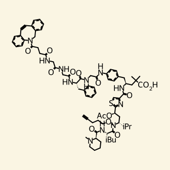 C#CCCCON(C(=O)[C@@H](NC(=O)[C@H]1CCCCN1C)[C@@H](C)CC)[C@H](C[C@@H](OC(C)=O)c1nc(C(=O)N[C@@H](Cc2ccc(NC(=O)CNC(=O)[C@H](Cc3ccccc3)NC(=O)CNC(=O)CNC(=O)CCC(=O)N3Cc4ccccc4C#Cc4ccccc43)cc2)CC(C)(C)C(=O)O)cs1)C(C)C